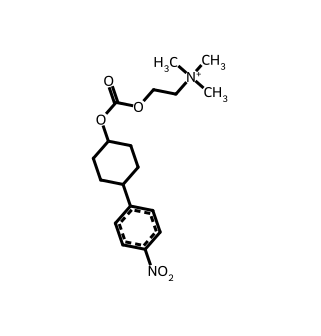 C[N+](C)(C)CCOC(=O)OC1CCC(c2ccc([N+](=O)[O-])cc2)CC1